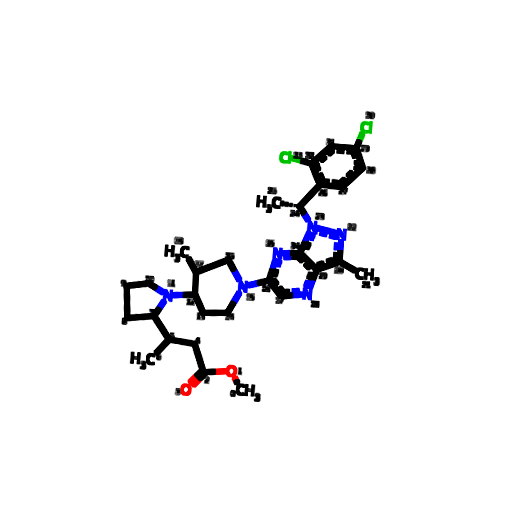 COC(=O)CC(C)C1CCCN1C1CCN(c2cnc3c(C)nn([C@H](C)c4ccc(Cl)cc4Cl)c3n2)CC1C